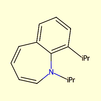 CC(C)c1cccc2c1N(C(C)C)C=CC=C2